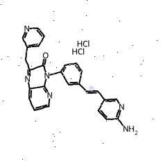 Cl.Cl.Nc1ccc(/C=C/c2cccc(-n3c(=O)c(Cc4cccnc4)nc4cccnc43)c2)cn1